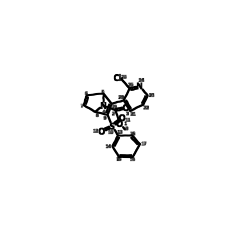 COC(=O)N1C2C=CC1C(S(=O)(=O)c1ccccc1)=C2c1cccnc1Cl